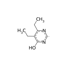 CCc1n[c]nc(O)c1CC